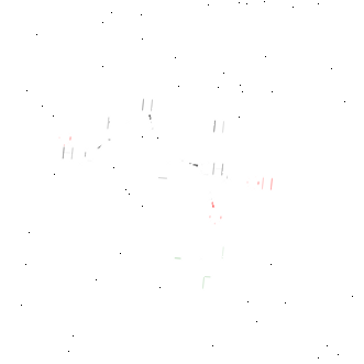 C[C@]12C[C@H](OCC(F)(F)F)[C@@H](O)C[C@@H]1CC[C@@H]1[C@@H]2CC[C@]2(C)C(=O)CC[C@@H]12